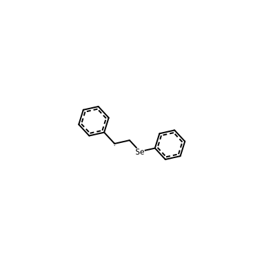 [CH](C[Se]c1ccccc1)c1ccccc1